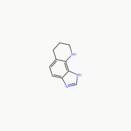 c1nc2ccc3c(c2[nH]1)NCCC3